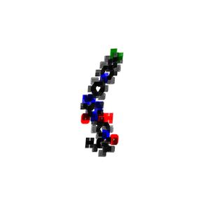 CC1(C(=O)N2CCC(O)(Cn3cnc4c(cnn4-c4ccc(N5CCC6(CC5)CC(F)(F)C6)cc4)c3=O)CC2)CC1